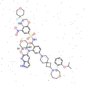 CC(C)Oc1ccccc1[C@@H]1COCCCN1C1CC2(CCN(c3ccc(C(=O)NS(=O)(=O)c4cc5c(c([N+](=O)[O-])c4)N[C@H](C4(F)CCOCC4)CO5)c(N4c5cc6cc[nH]c6nc5O[C@H]5COCC[C@@H]54)c3)CC2)C1